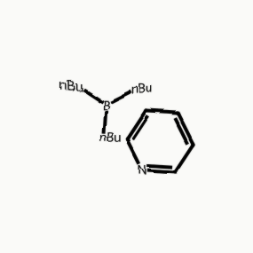 CCCCB(CCCC)CCCC.c1ccncc1